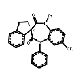 CCN1C(=O)[C@@]2(CCc3ccccc32)C(=O)N(c2ccccc2)c2cc(C(F)(F)F)ccc21